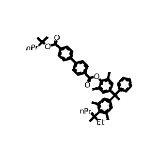 CCCC(C)(C)OC(=O)c1ccc(-c2ccc(C(=O)Oc3c(C)cc(C(C)(c4ccccc4)c4cc(C)c(C(C)(CC)CCC)c(C)c4)cc3C)cc2)cc1